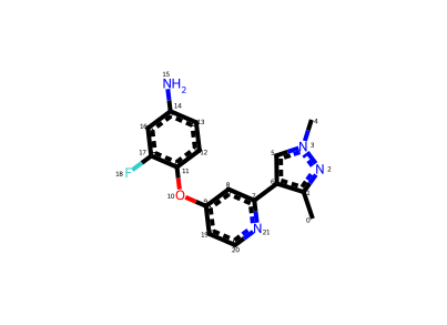 Cc1nn(C)cc1-c1cc(Oc2ccc(N)cc2F)ccn1